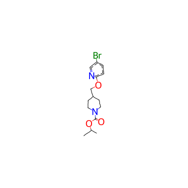 CC(C)OC(=O)N1CCC(COc2ccc(Br)cn2)CC1